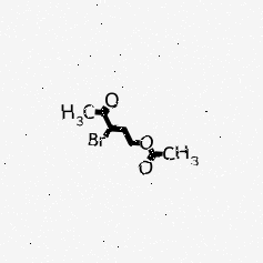 CC(=O)OCCC(Br)C(C)=O